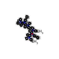 Cc1ccc(N(c2ccccc2)c2cc3c(c4ccccc24)c2c4ccccc4c(N(c4ccc(C)cc4)c4cccc(-c5cccc(N(c6ccccc6C)c6cc7c(c8ccccc68)c6c8ccccc8c(N(c8ccccc8)c8ccccc8C)cc6n7-c6ccc(-c7ccccc7)cc6)c5)c4)cc2n3-c2ccc(-c3ccccc3)cc2)cc1